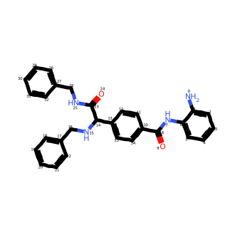 Nc1ccccc1NC(=O)c1ccc(C(NCc2ccccc2)C(=O)NCc2ccccc2)cc1